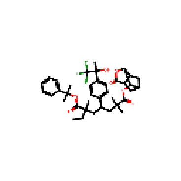 CCC(C)(CC(CC(C)(C)C(=O)OC1C2CC3C(=O)OC1C3C2)c1ccc(C(C)(O)C(F)(F)F)cc1)C(=O)OC(C)(C)c1ccccc1